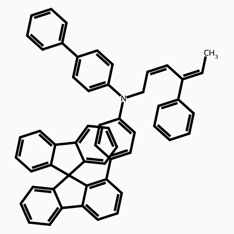 C/C=C(\C=C/CN(c1ccc(-c2ccccc2)cc1)c1ccc(-c2cccc3c2C2(c4ccccc4-c4ccccc42)c2ccccc2-3)cc1)c1ccccc1